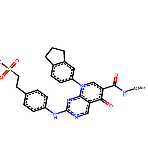 CONC(=O)c1cn(-c2ccc3c(c2)CCC3)c2nc(Nc3ccc(CCS(C)(=O)=O)cc3)ncc2c1=O